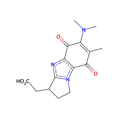 CC1=C(N(C)C)C(=O)c2nc3n(c2C1=O)CCC3CC(=O)O